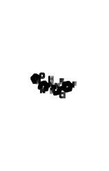 O=C1CCCN1c1cncc(Nc2ncc(Cl)c(-c3ccc(F)cc3F)n2)c1